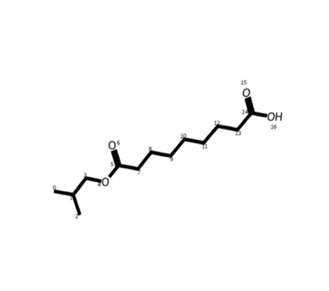 CC(C)COC(=O)CCCCCCCC(=O)O